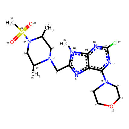 CC1CN(Cc2nc3c(N4CCOCC4)nc(Cl)nc3n2C)[C@@H](C)CN1S(C)(=O)=O